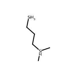 C[SiH](C)CCC[SiH3]